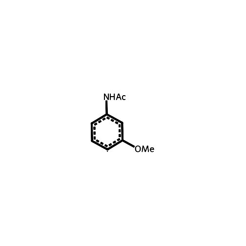 COc1[c]ccc(NC(C)=O)c1